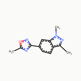 Cc1nc(-c2ccc3c(C)nn(C)c3c2)no1